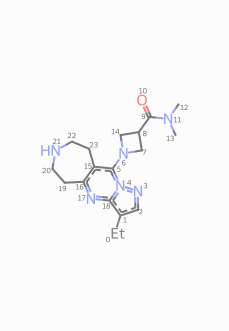 CCc1cnn2c(N3CC(C(=O)N(C)C)C3)c3c(nc12)CCNCC3